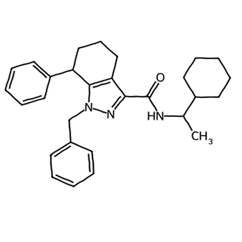 CC(NC(=O)c1nn(Cc2ccccc2)c2c1CCCC2c1ccccc1)C1CCCCC1